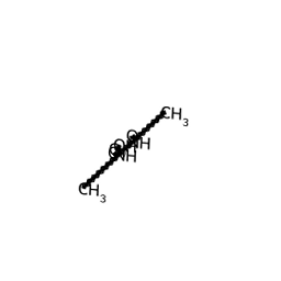 CCCCCCCCCCCCCCCC(=O)N[C@@H](CCCCNC(=O)CCCCCCCCCCCCC)C(=O)O